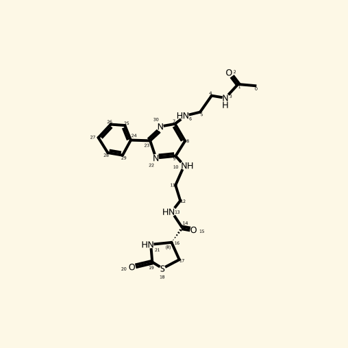 CC(=O)NCCNc1cc(NCCNC(=O)[C@@H]2CSC(=O)N2)nc(-c2ccccc2)n1